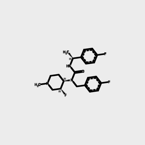 C[C@@H](NC(=O)N(Cc1ccc(F)cc1)[C@H]1CCN(C)C[C@H]1F)c1ccc(F)cc1